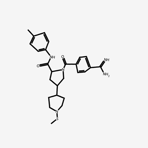 CSN1CCC(C2CC(C(=O)Nc3ccc(C)cc3)N(C(=O)c3ccc(C(=N)N)cc3)C2)CC1